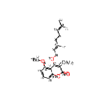 COc1c(OC/C=C(\C)CCC=C(C)C)c2c(OC(C)(C)C)cccc2oc1=O